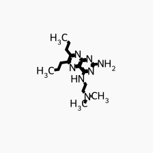 CCCc1nc2nc(N)nc(NCCN(C)C)c2nc1CCC